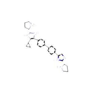 c1cc(-c2ccc(-c3cnc([C@@H]4CCCN4)[nH]3)cc2)ccc1C1=C(C2CC2)NC([C@@H]2CCCN2)N1